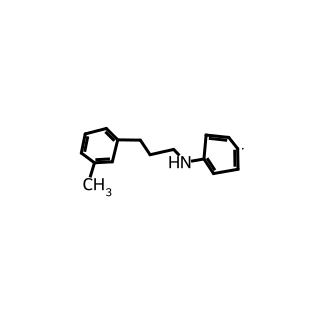 Cc1cccc(CCCNc2cc[c]cc2)c1